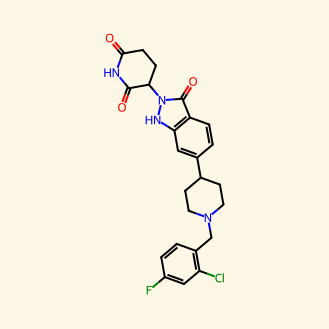 O=C1CCC(n2[nH]c3cc(C4CCN(Cc5ccc(F)cc5Cl)CC4)ccc3c2=O)C(=O)N1